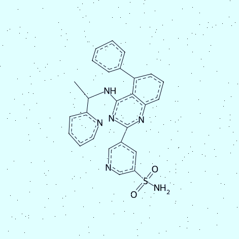 CC(Nc1nc(-c2cncc(S(N)(=O)=O)c2)nc2cccc(-c3ccccc3)c12)c1ccccn1